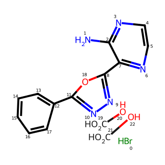 Br.Nc1nccnc1-c1nnc(-c2ccccc2)o1.O=C(O)O.O=C(O)O